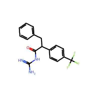 N=C(N)NC(=O)C(Cc1ccccc1)c1ccc(C(F)(F)F)cc1